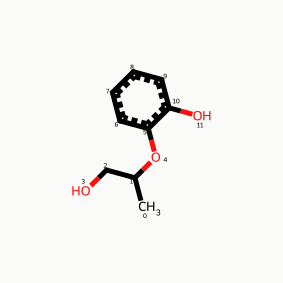 CC(CO)Oc1ccccc1O